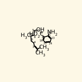 CC(C)=CCCC(C)CCO.Nc1ccccc1C(=O)O